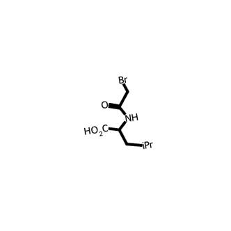 CC(C)CC(NC(=O)CBr)C(=O)O